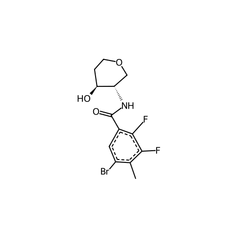 Cc1c(Br)cc(C(=O)N[C@H]2COCC[C@@H]2O)c(F)c1F